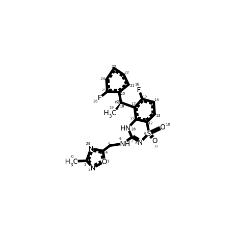 Cc1noc(CNC2=NS(=O)(=O)c3ccc(F)c([C@@H](C)c4ccccc4F)c3N2)n1